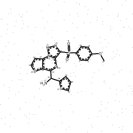 COc1ccc(S(=O)(=O)c2nnn3c2nc(C(N)c2cccs2)c2sccc23)cc1